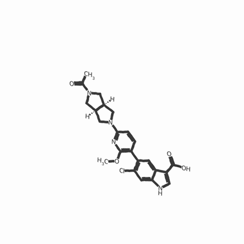 COc1nc(N2C[C@H]3CN(C(C)=O)C[C@H]3C2)ccc1-c1cc2c(C(=O)O)c[nH]c2cc1Cl